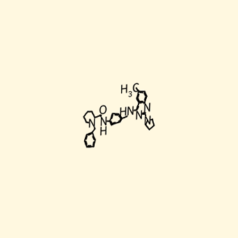 Cc1ccc2nc(N3CCCC3)nc(NCc3ccc(NC(=O)C4CCCCN4Cc4ccccc4)cc3)c2c1